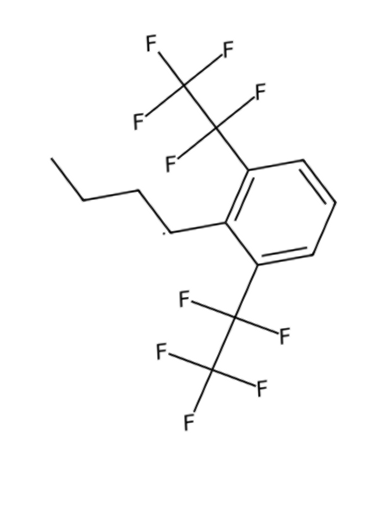 CCC[CH]c1c(C(F)(F)C(F)(F)F)cccc1C(F)(F)C(F)(F)F